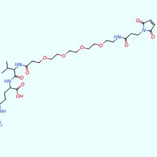 CC(C)C(NC(=O)CCOCCOCCOCCOCCNC(=O)CCN1C(=O)C=CC1=O)C(=O)NC(CCCNC(N)=O)C(=O)O